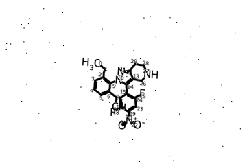 CCc1cccc(CC)c1-n1nc2c(c1-c1cc(F)c([N+](=O)[O-])cc1F)CNCC2